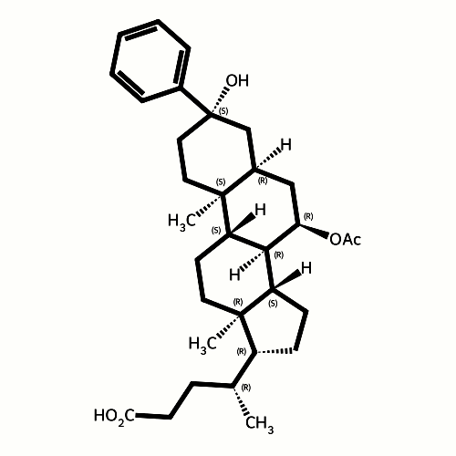 CC(=O)O[C@@H]1C[C@@H]2C[C@](O)(c3ccccc3)CC[C@]2(C)[C@H]2CC[C@]3(C)[C@@H]([C@H](C)CCC(=O)O)CC[C@H]3[C@H]12